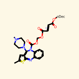 CCCCCCCCCCOC(=O)/C=C/C(=O)OCOC(=O)N1C(N2CCN(C)CC2)=c2cc(C)sc2=Nc2ccccc21